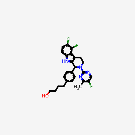 Cc1nc(N2CCc3c([nH]c4ccc(Cl)c(F)c34)C2c2ccc(CCCCO)cc2)ncc1F